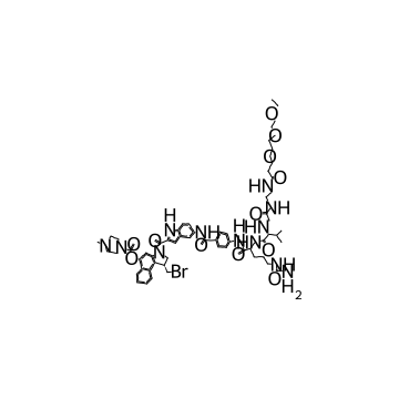 CCOCCOCCOCCC(=O)NCCNC(=O)CNC(C(=O)NC(CCCNC(N)=O)C(=O)Nc1ccc(C(=O)Nc2ccc3[nH]c(C(=O)N4C[C@@H](CBr)c5c4cc(OC(=O)N4CCN(C)CC4)c4ccccc54)cc3c2)cc1)C(C)C